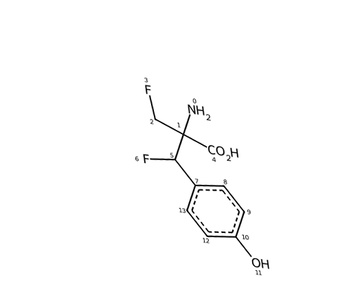 NC(CF)(C(=O)O)C(F)c1ccc(O)cc1